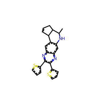 CC1Nc2cc3nc(-c4cccs4)c(-c4cccs4)nc3cc2C2C=CCC12